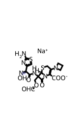 Nc1nc(/C(=N/O)C(=O)NC2(COC=O)C(=O)N3C(C(=O)[O-])=C(N4CCC4)CS[C@H]32)cs1.[Na+]